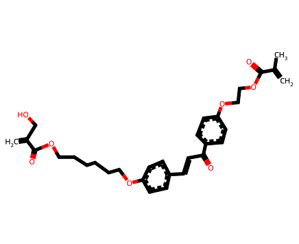 C=C(C)C(=O)OCCOc1ccc(C(=O)/C=C/c2ccc(OCCCCCCOC(=O)C(=C)CO)cc2)cc1